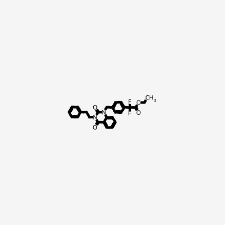 CCOC(=O)C(F)(F)c1ccc(Cn2c(=O)n(CCc3ccccc3)c(=O)c3ccccc32)cc1